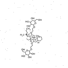 CCC[C@@H](C)[C@H]1CC[C@H]2[C@@H]3[C@H](OCCO[C@@H]4OC(CO)[C@@H](O)C(O)[C@@H]4O)C[C@@H]4CCCC[C@]4(C)[C@H]3C[C@H](OCCO[C@@H]3OC(CO)[C@@H](O)C(O)C3O)[C@]12C